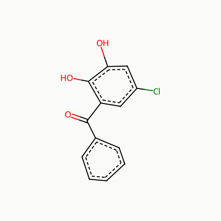 O=C(c1ccccc1)c1cc(Cl)cc(O)c1O